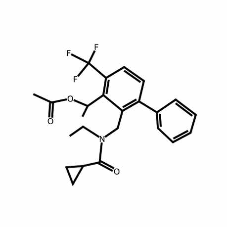 CCN(Cc1c(-c2ccccc2)ccc(C(F)(F)F)c1C(C)OC(C)=O)C(=O)C1CC1